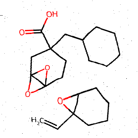 C=CC12CCCCC1O2.O=C(O)C1(CC2CCCCC2)CCC23OC2(C1)O3